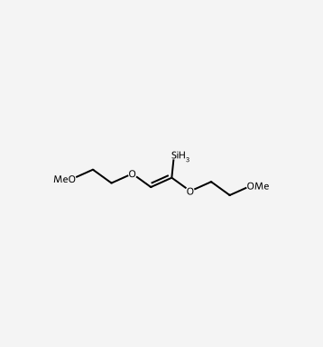 COCCOC=C([SiH3])OCCOC